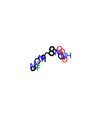 CC1(n2cc(Cc3ccc4c5c(cccc35)C(=O)N4C3CCC(=O)NC3=O)cn2)CCN(c2ncccc2F)CC1